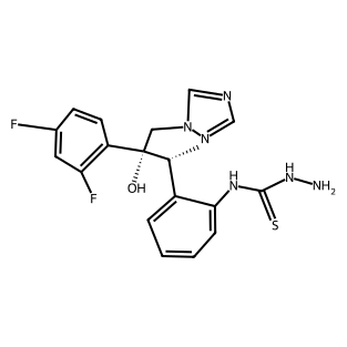 C[C@H](c1ccccc1NC(=S)NN)[C@](O)(Cn1cncn1)c1ccc(F)cc1F